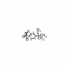 CC(C)(C)c1ccc2c(c1)C=NS2(=O)=O